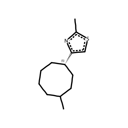 Cc1nc([C@H]2CCCCC(C)CC2)cs1